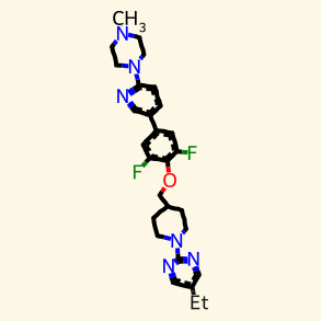 CCc1cnc(N2CCC(COc3c(F)cc(-c4ccc(N5CCN(C)CC5)nc4)cc3F)CC2)nc1